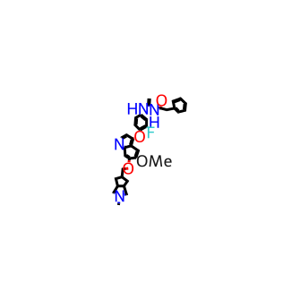 C=C(NC(=O)Cc1ccccc1)Nc1ccc(Oc2ccnc3cc(OCC4CC5CN(C)CC5C4)c(OC)cc23)c(F)c1